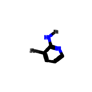 CCNc1ncccc1C(C)C